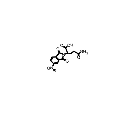 NC(=O)CC[C@H](C(=O)O)N1C(=O)c2ccc([N+](=O)[O-])cc2C1=O